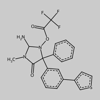 CN1C(=O)C(c2ccccc2)(c2cccc(-c3ccsc3)c2)N(OC(=O)C(F)(F)F)C1N